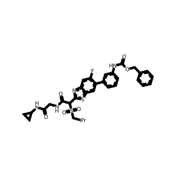 CC(C)CS(=O)(=O)C(C(=O)NCC(=O)NC1CC1)c1nc2cc(F)c(-c3cccc(NC(=O)OCc4ccccc4)c3)cc2s1